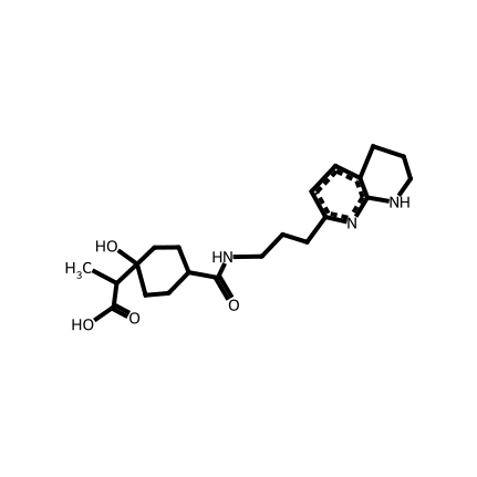 CC(C(=O)O)C1(O)CCC(C(=O)NCCCc2ccc3c(n2)NCCC3)CC1